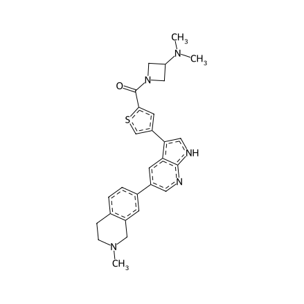 CN1CCc2ccc(-c3cnc4[nH]cc(-c5csc(C(=O)N6CC(N(C)C)C6)c5)c4c3)cc2C1